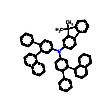 CC1(C)c2ccccc2-c2ccc(N(c3ccc(-c4ccccc4)c(-c4cccc5ccccc45)c3)c3ccc(-c4ccccc4)c(-c4cccc5ccccc45)c3)cc21